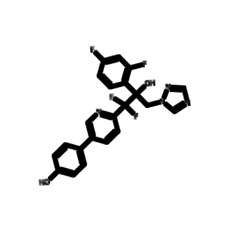 Oc1ccc(-c2ccc(C(F)(F)C(O)(Cn3cncn3)c3ccc(F)cc3F)nc2)cc1